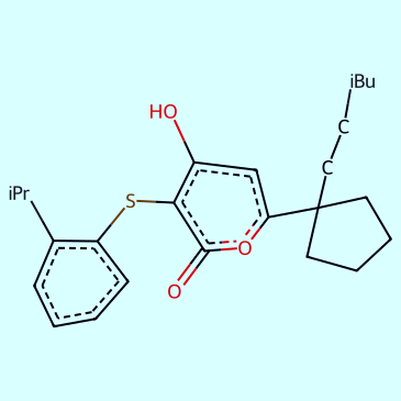 CCC(C)CCC1(c2cc(O)c(Sc3ccccc3C(C)C)c(=O)o2)CCCC1